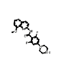 COc1cccc2ccc(NC(=O)c3c(F)cc(N4CCNCC4)cc3F)nc12